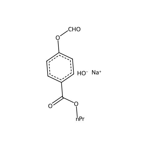 CCCOC(=O)c1ccc(OC=O)cc1.[Na+].[OH-]